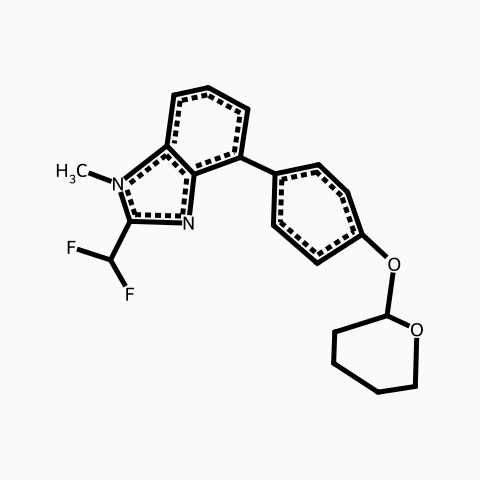 Cn1c(C(F)F)nc2c(-c3ccc(OC4CCCCO4)cc3)cccc21